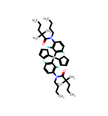 CCCCN(C(=O)C(C)(C)CCC)c1ccc(F)[c]([Ti]([C]2=CC=CC2)([C]2=CC=CC2)[c]2c(F)ccc(N(CCCC)C(=O)C(C)(C)CCC)c2F)c1F